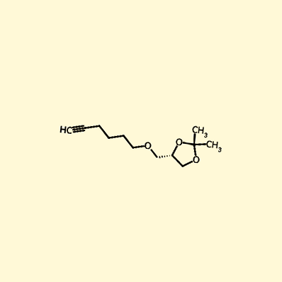 C#CCCCCOC[C@H]1COC(C)(C)O1